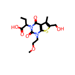 CCC(C(=O)O)n1c(=O)c2c(C)c(CO)sc2n(CCOC)c1=O